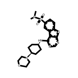 CN(C)S(=O)(=O)c1ccc2sc3ncnc(N[C@H]4CC[C@H](N5CCOCC5)CC4)c3c2c1